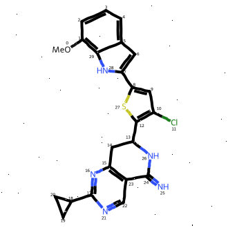 COc1cccc2cc(-c3cc(Cl)c(C4Cc5nc(C6CC6)ncc5C(=N)N4)s3)[nH]c12